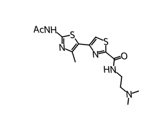 CC(=O)Nc1nc(C)c(-c2csc(C(=O)NCCN(C)C)n2)s1